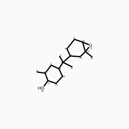 CC1CC(C(C)(C)C2CCC3OC3(C)C2)CCC1O